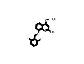 Cc1cc(OC(=O)O)c2cccc(OCc3c(F)cccc3F)c2n1